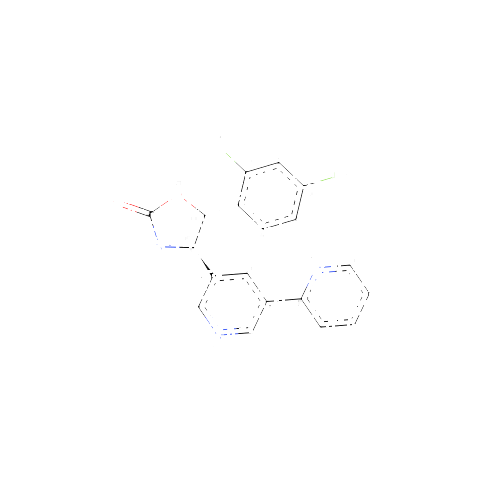 O=C1N[C@H](c2cncc(-c3ccccn3)c2)[C@@H](c2ccc(F)cc2F)O1